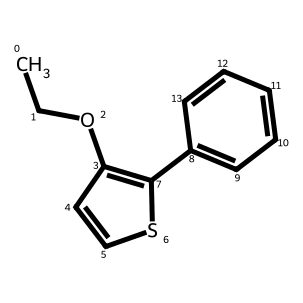 CCOc1ccsc1-c1ccccc1